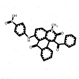 Cn1c(=O)c(C(=O)c2ccccc2)c2c3c(c(Nc4ccc(S(=O)O)cc4)ccc31)C(=O)c1ccccc1-2